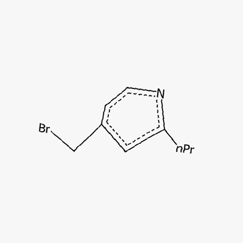 CCCc1cc(CBr)ccn1